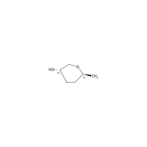 C[C@H]1CC[C@H](O)CO1